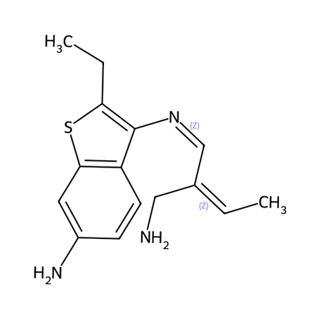 C/C=C(\C=N/c1c(CC)sc2cc(N)ccc12)CN